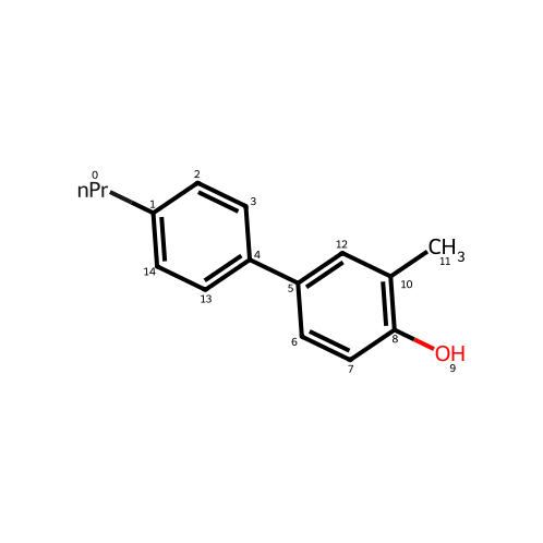 CCCc1ccc(-c2ccc(O)c(C)c2)cc1